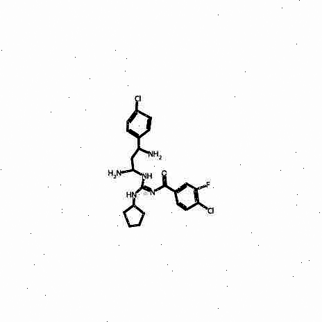 NC(CC(N)c1ccc(Cl)cc1)N/C(=N\C(=O)c1ccc(Cl)c(F)c1)NC1CCCC1